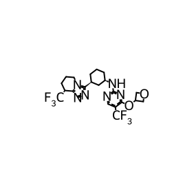 FC(F)(F)c1cnc(N[C@@H]2CCC[C@H](c3nnc4n3CCC[C@@H]4C(F)(F)F)C2)nc1OC1COC1